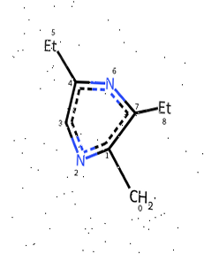 [CH2]c1ncc(CC)nc1CC